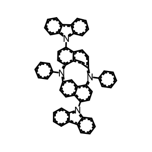 c1ccc(-n2c3ccc4c(-n5c6ccccc6c6ccccc65)ccc(c4c3)n(-c3ccccc3)c3ccc4c(-n5c6ccccc6c6ccccc65)ccc2c4c3)cc1